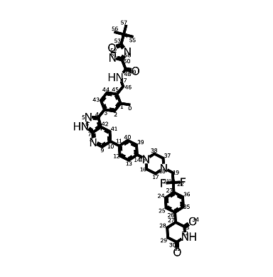 Cc1cc(-c2n[nH]c3ncc(-c4ccc(N5CCN(CC(F)(F)c6ccc(C7CCC(=O)NC7=O)cc6)CC5)cc4)cc23)ccc1CNC(=O)c1noc(C(C)(C)C)n1